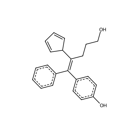 OCCCC(=C(c1ccccc1)c1ccc(O)cc1)C1C=CC=C1